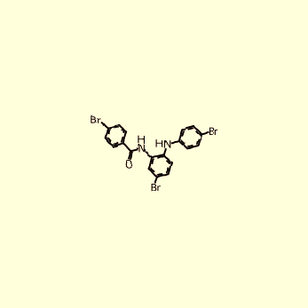 O=C(Nc1cc(Br)ccc1Nc1ccc(Br)cc1)c1ccc(Br)cc1